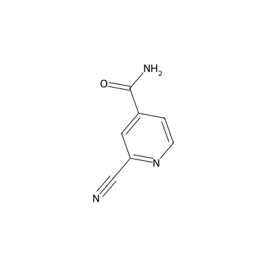 N#Cc1cc(C(N)=O)ccn1